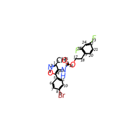 Cc1noc(-c2ccc(Br)cc2)c1NC(=O)OCCc1ccc(F)cc1F